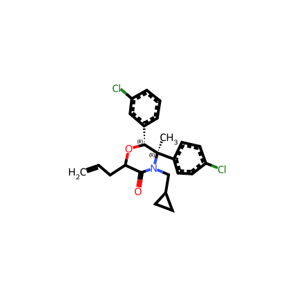 C=CCC1O[C@H](c2cccc(Cl)c2)[C@@](C)(c2ccc(Cl)cc2)N(CC2CC2)C1=O